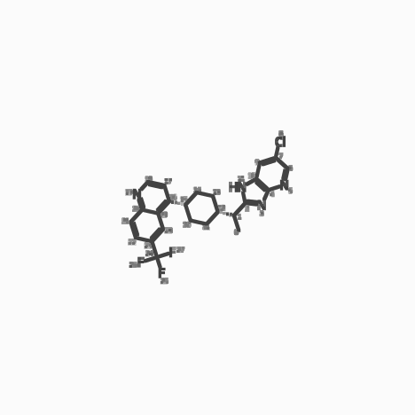 CC(c1nc2ncc(Cl)cc2[nH]1)[C@H]1CC[C@@H](c2ccnc3ccc(C(F)(F)F)cc32)CC1